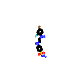 NS(=O)(=O)c1ccc(NCCNc2ccc(Br)cc2F)cc1